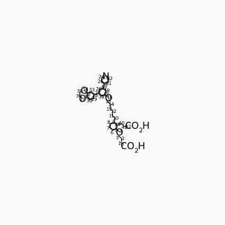 O=C(O)CCCOc1cccc(CCCCCCOc2cc(-c3ccncc3)cc(-c3ccc4c(c3)OCCO4)c2)c1CCC(=O)O